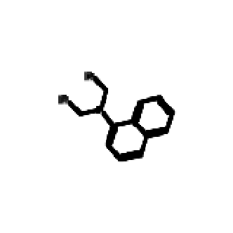 CC(C)CP(CC(C)C)c1cccc2ccccc12